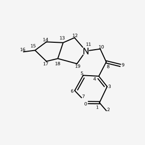 C=C(C)/C=C(\C=C/C)C(=C)CN1CC2CC(C)CC2C1